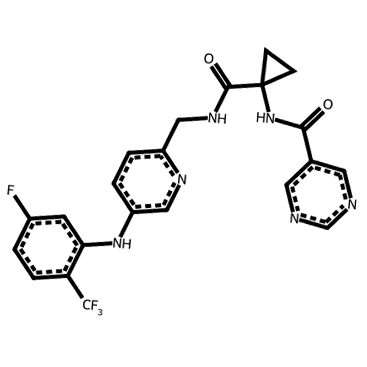 O=C(NC1(C(=O)NCc2ccc(Nc3cc(F)ccc3C(F)(F)F)cn2)CC1)c1cncnc1